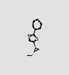 CC[C@H]1C[C@@H]1c1cnc(-c2ccccc2)s1